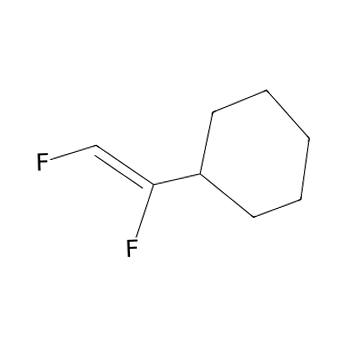 F/C=C(\F)C1CCCCC1